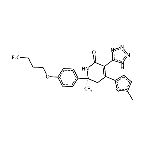 Cc1ccc(C2=C(c3nnn[nH]3)C(=O)N[C@@](c3ccc(OCCCC(F)(F)F)cc3)(C(F)(F)F)C2)s1